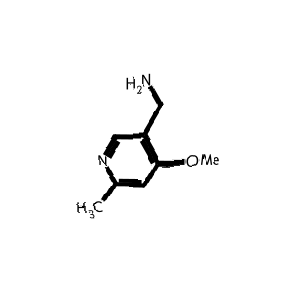 COc1cc(C)ncc1CN